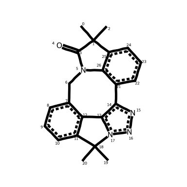 CC1(C)C(=O)N2Cc3cccc4c3-c3c(nnn3C4(C)C)-c3cccc1c32